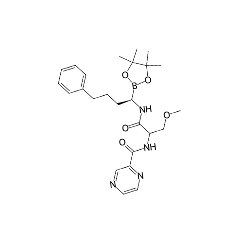 COCC(NC(=O)c1cnccn1)C(=O)N[C@@H](CCCc1ccccc1)B1OC(C)(C)C(C)(C)O1